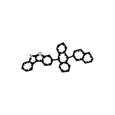 c1ccc2cc(-c3c4ccccc4c(-c4ccc5c(c4)oc4sc6ccccc6c45)c4ccccc34)ccc2c1